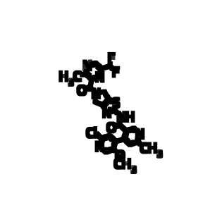 COc1cnc(Cl)cc1-c1cc(C)ncc1C(=O)Nc1nc2c(s1)CN(C(=O)c1nc(C(F)F)cnc1C)C2